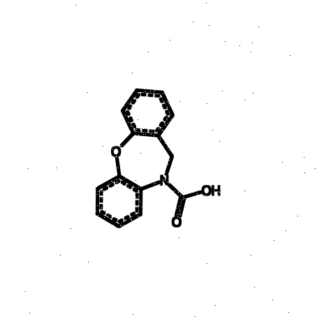 O=C(O)N1Cc2ccccc2Oc2ccccc21